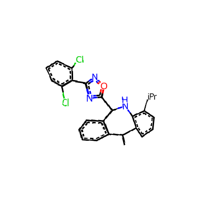 CC(C)c1cccc2c1NC(c1nc(-c3c(Cl)cccc3Cl)no1)c1ccccc1C2C